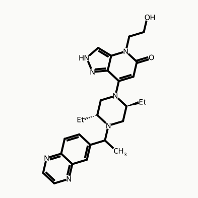 CC[C@H]1CN(C(C)c2ccc3nccnc3c2)[C@H](CC)CN1c1cc(=O)n(CCO)c2c[nH]nc12